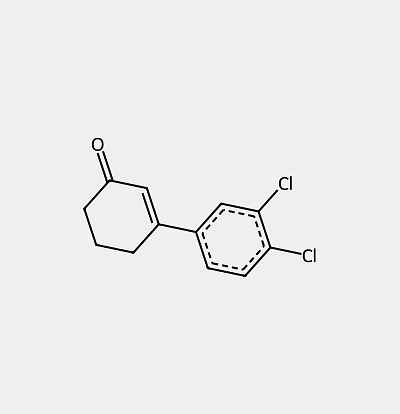 O=C1C=C(c2ccc(Cl)c(Cl)c2)CCC1